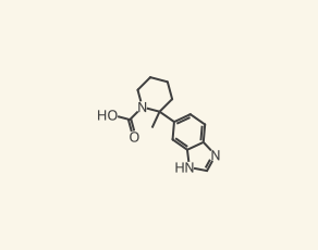 CC1(c2ccc3nc[nH]c3c2)CCCCN1C(=O)O